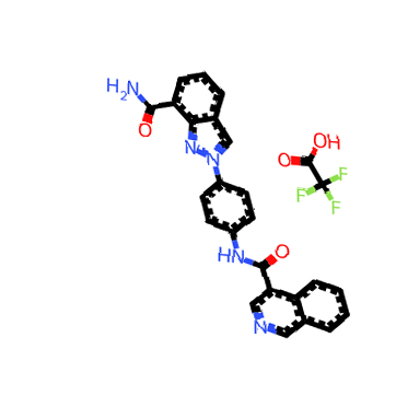 NC(=O)c1cccc2cn(-c3ccc(NC(=O)c4cncc5ccccc45)cc3)nc12.O=C(O)C(F)(F)F